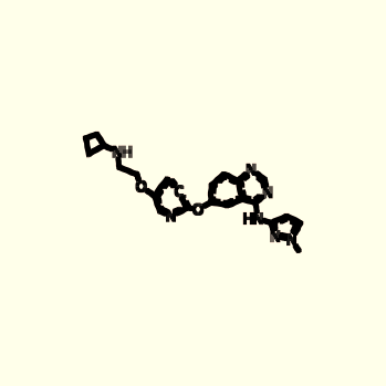 Cn1ccc(Nc2ncnc3ccc(Oc4ccc(OCCNC5CCC5)cn4)cc23)n1